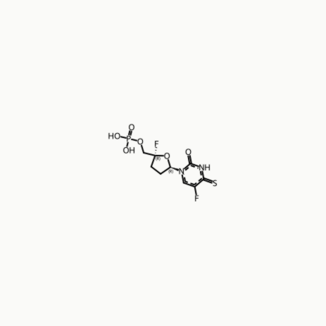 O=c1[nH]c(=S)c(F)cn1[C@H]1CC[C@@](F)(COP(=O)(O)O)O1